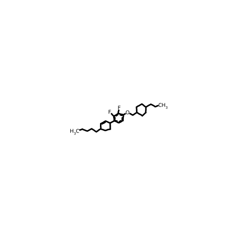 CCCCCC1C=CC(c2ccc(OCC3CCC(CCC)CC3)c(F)c2F)CC1